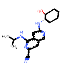 CC(C)Nc1nc(C#N)cc2cnc(N[C@H]3CCCC[C@@H]3O)cc12